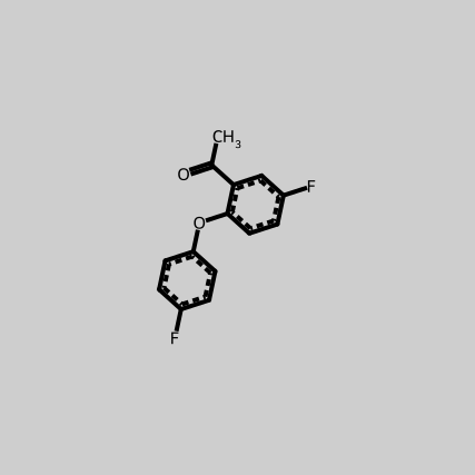 CC(=O)c1cc(F)ccc1Oc1ccc(F)cc1